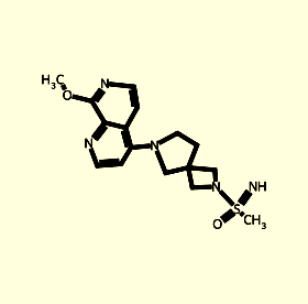 COc1nccc2c(N3CCC4(C3)CN(S(C)(=N)=O)C4)ccnc12